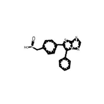 O=S(O)Cc1ccc(-c2sc3ncnn3c2-c2ccccc2)cc1